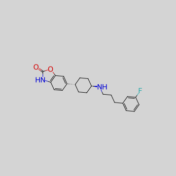 O=c1[nH]c2ccc([C@H]3CC[C@H](NCCCc4cccc(F)c4)CC3)cc2o1